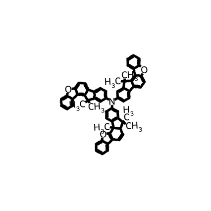 CC1(C)c2cc(N(c3ccc4c(c3)C(C)(C)c3c-4ccc4oc5ccccc5c34)c3ccc4c(c3)C(C)(C)C3C=Cc5c(oc6ccccc56)C43C)ccc2-c2ccc3oc4ccccc4c3c21